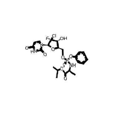 CC(C)OC(=O)C(C)NP(=S)(OC[C@H]1O[C@@H](n2ccc(=O)[nH]c2=O)[C@@](F)(Cl)[C@@H]1O)Oc1ccccc1